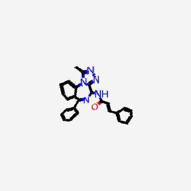 Cc1nnc2n1-c1ccccc1C(c1ccccc1)=NC2NC(=O)C=Cc1ccccc1